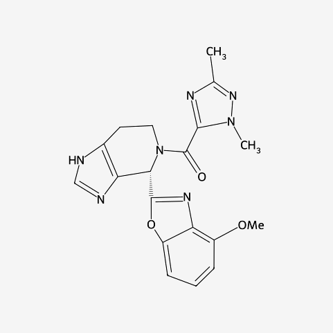 COc1cccc2oc([C@@H]3c4nc[nH]c4CCN3C(=O)c3nc(C)nn3C)nc12